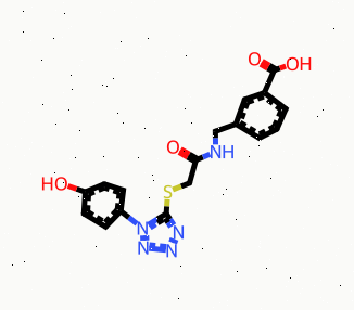 O=C(CSc1nnnn1-c1ccc(O)cc1)NCc1cccc(C(=O)O)c1